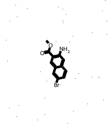 COC(=O)c1cc2cc(Br)ccc2cc1N